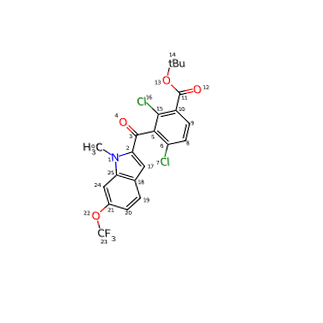 Cn1c(C(=O)c2c(Cl)ccc(C(=O)OC(C)(C)C)c2Cl)cc2ccc(OC(F)(F)F)cc21